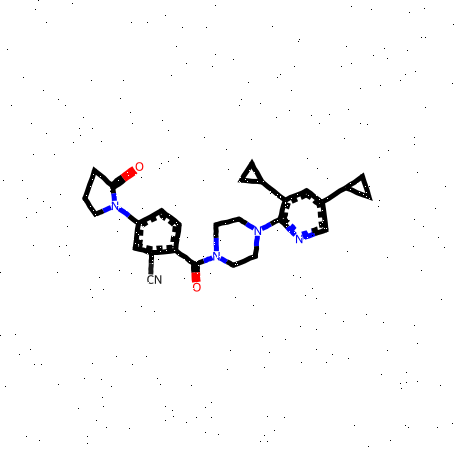 N#Cc1cc(N2CCCC2=O)ccc1C(=O)N1CCN(c2ncc(C3CC3)cc2C2CC2)CC1